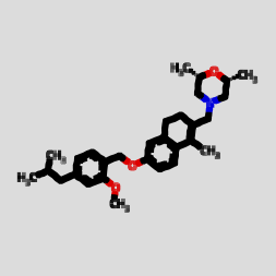 COc1cc(CC(C)C)ccc1COc1ccc2c(c1)CCC(CN1C[C@@H](C)O[C@@H](C)C1)=C2C